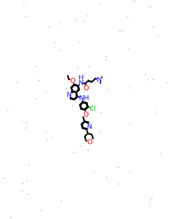 CCOc1cc2nccc(Nc3ccc(OCc4ccc(C5CCOCC5)nc4)c(Cl)c3)c2cc1NC(=O)/C=C/CN(C)C